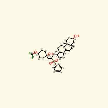 CC12CCC3C(CC[C@H]4CC(O)CCC34C)C1CCC2CC(CC1(O)CCC(OC(F)F)CC1)S(=O)(=O)c1ccccc1